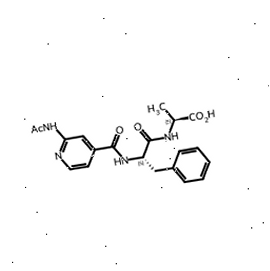 CC(=O)Nc1cc(C(=O)N[C@@H](Cc2ccccc2)C(=O)N[C@@H](C)C(=O)O)ccn1